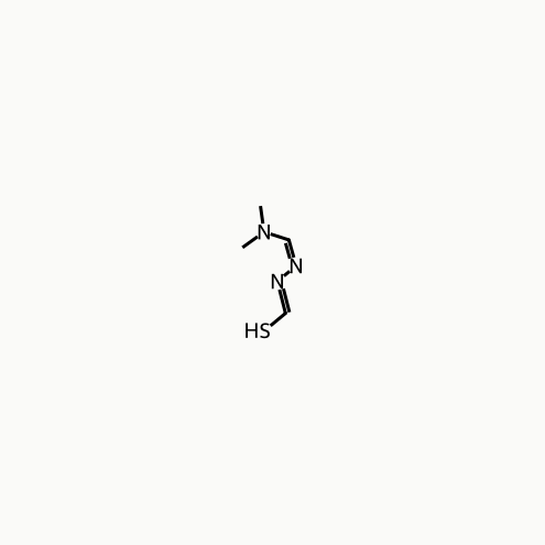 CN(C)/C=N\N=C\S